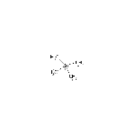 [CH3][Zn]([CH3])([CH3])[CH3]